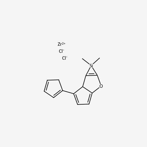 C[Si]1(C)C2=C1C1C(=CC=C1C1=CC=CC1)O2.[Cl-].[Cl-].[Zr+2]